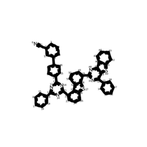 N#Cc1cccc(-c2ccc(-c3nc(-c4ccccc4)nc(-c4cccc5sc6c(-c7nc(-c8ccccc8)c8sc9ccccc9c8n7)cccc6c45)n3)cc2)c1